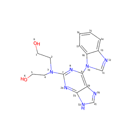 OCCN(CCO)c1nc(-n2cnc3ccccc32)c2nc[nH]c2n1